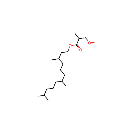 COCC(C)C(=O)OCCC(C)CCCC(C)CCCC(C)C